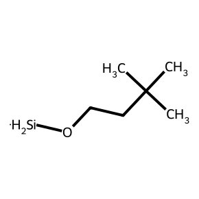 CC(C)(C)CCO[SiH2]